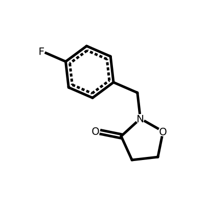 O=C1CCON1Cc1ccc(F)cc1